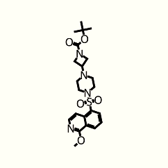 COc1nccc2c(S(=O)(=O)N3CCN(C4CN(C(=O)OC(C)(C)C)C4)CC3)cccc12